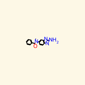 CN(C(=O)c1ccccc1)c1ccc2c(c1)nc(N)n2C